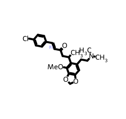 COc1c2c(cc(CCN(C)C)c1C(C)CC(=O)/C=C/c1ccc(Cl)cc1)OCO2